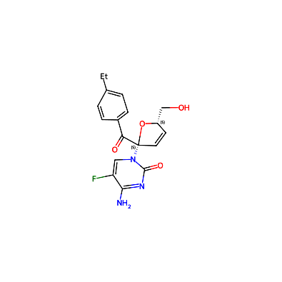 CCc1ccc(C(=O)[C@]2(n3cc(F)c(N)nc3=O)C=C[C@@H](CO)O2)cc1